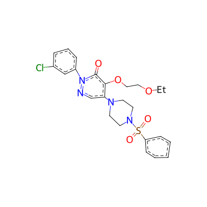 CCOCCOc1c(N2CCN(S(=O)(=O)c3ccccc3)CC2)cnn(-c2cccc(Cl)c2)c1=O